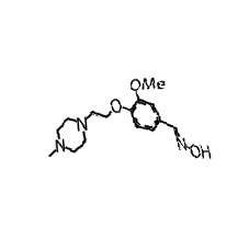 COc1cc(C=NO)ccc1OCCN1CCN(C)CC1